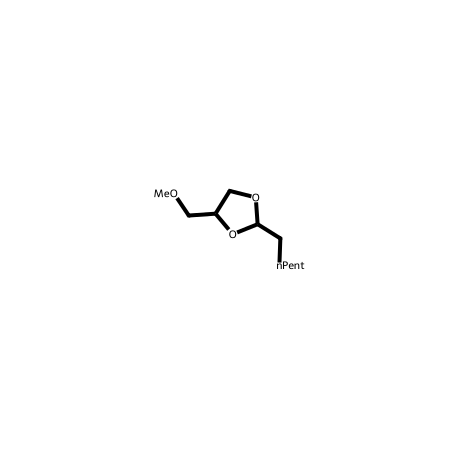 CCCCCCC1OCC(COC)O1